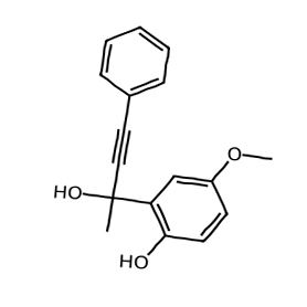 COc1ccc(O)c(C(C)(O)C#Cc2ccccc2)c1